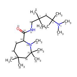 CN(C)C(C)(C)CC(C)(C)CNC(=O)C1CCC(C)(C)CC(C)(C)N1C